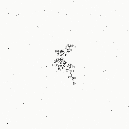 CC(C)(COP(=O)(O)OP(=O)(O)OC[C@H]1O[C@@H](n2cnc3c(N)ncnc32)[C@H](O)[C@@H]1OP(=O)(O)O)[C@@H](O)C(=O)NCCC(=O)NCCS.CC(O)CC(=O)O